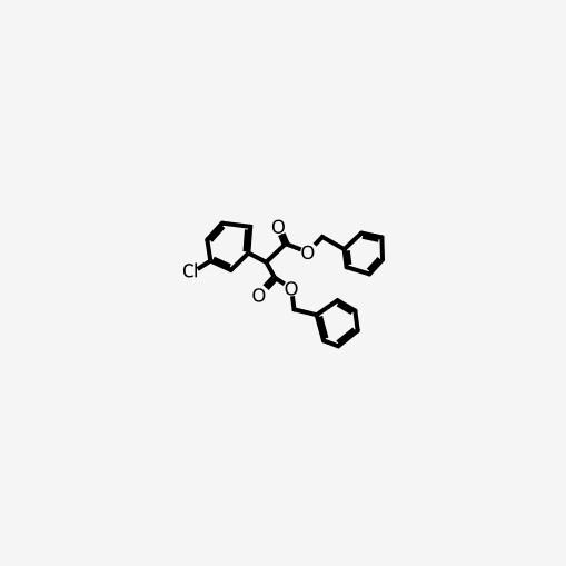 O=C(OCc1ccccc1)C(C(=O)OCc1ccccc1)c1cccc(Cl)c1